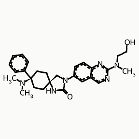 CN(CCO)c1ncc2cc(N3C[C@]4(CC[C@@](c5ccccc5)(N(C)C)CC4)NC3=O)ccc2n1